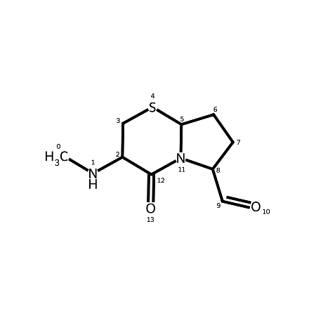 CNC1CSC2CCC(C=O)N2C1=O